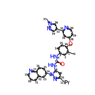 Cc1cc(NC(=O)Nc2cc(C(C)C)nn2-c2ccc3ncccc3c2)ccc1Oc1ccnc(-c2cnn(C)c2)c1